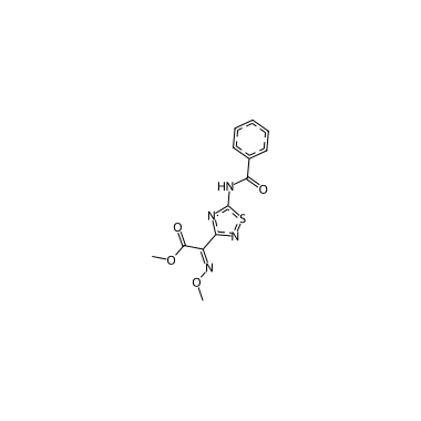 CO/N=C(\C(=O)OC)c1nsc(NC(=O)c2ccccc2)n1